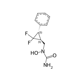 NC(=O)N(O)C[C@@H]1[C@@H](c2ccccc2)C1(F)F